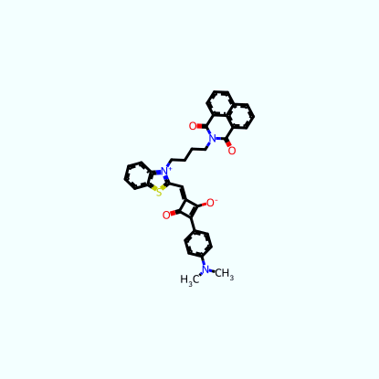 CN(C)c1ccc(C2=C([O-])/C(=C/c3sc4ccccc4[n+]3CCCCN3C(=O)c4cccc5cccc(c45)C3=O)C2=O)cc1